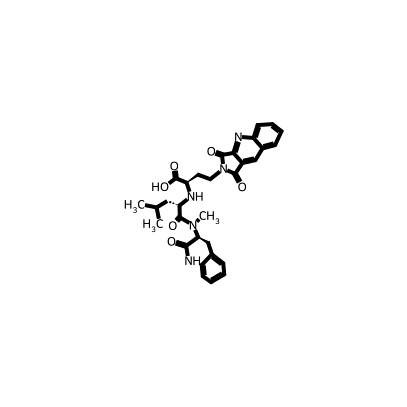 CC(C)C[C@H](N[C@H](CCN1C(=O)c2cc3ccccc3nc2C1=O)C(=O)O)C(=O)N(C)[C@@H](Cc1ccccc1)C(N)=O